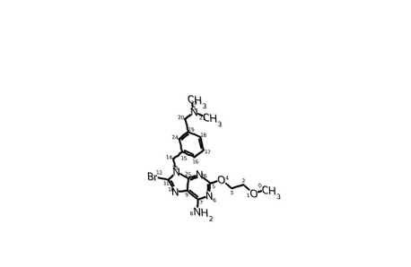 COCCOc1nc(N)c2nc(Br)n(Cc3cccc(CN(C)C)c3)c2n1